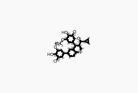 COc1cc(-c2ccc3ncc(C(=O)C4CC4)c(-c4cc(Cl)c(O)c(OC)c4)c3c2)cc(Cl)c1O